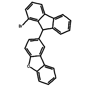 Brc1cccc2c1C(c1ccc3oc4ccccc4c3c1)c1ccccc1-2